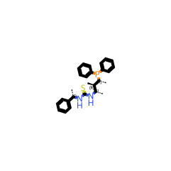 C[C@H]([C@H](C)NC(=S)N[C@@H](C)c1ccccc1)[C@@H](C)P(c1ccccc1)c1ccccc1